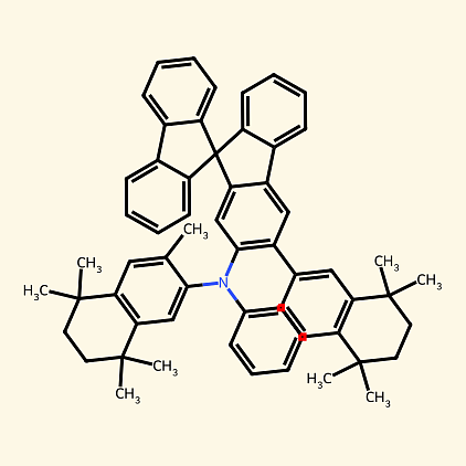 Cc1cc2c(cc1N(c1ccccc1)c1cc3c(cc1-c1ccc4c(c1)C(C)(C)CCC4(C)C)-c1ccccc1C31c3ccccc3-c3ccccc31)C(C)(C)CCC2(C)C